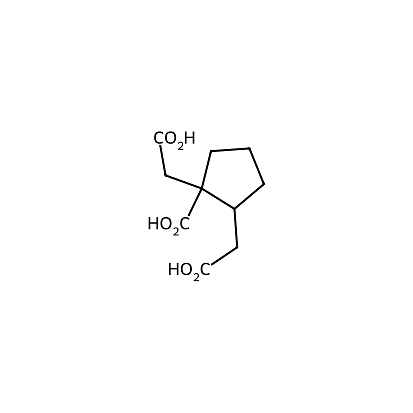 O=C(O)CC1CCCC1(CC(=O)O)C(=O)O